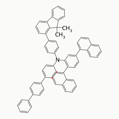 CC1(C)c2ccccc2-c2cccc(-c3ccc(N(c4ccc(-c5ccc(-c6ccccc6)cc5)cc4)c4cc(-c5cccc6ccccc56)ccc4-c4cccc5ccccc45)cc3)c21